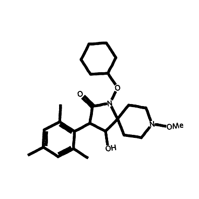 CON1CCC2(CC1)C(O)C(c1c(C)cc(C)cc1C)C(=O)N2OC1CCCCC1